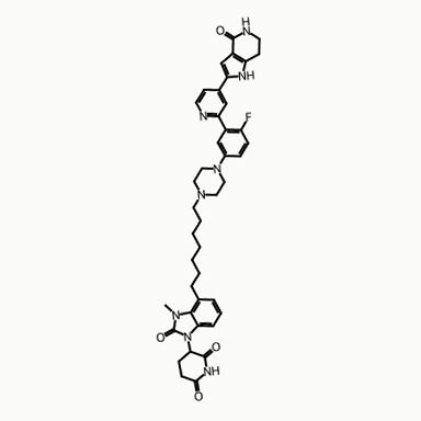 Cn1c(=O)n(C2CCC(=O)NC2=O)c2cccc(CCCCCCCN3CCN(c4ccc(F)c(-c5cc(-c6cc7c([nH]6)CCNC7=O)ccn5)c4)CC3)c21